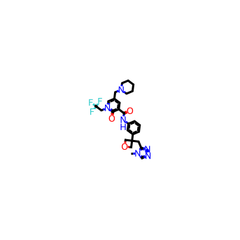 Cn1cnnc1CC1(c2cccc(NC(=O)c3cc(CN4CCCCC4)cn(CC(F)(F)F)c3=O)c2)COC1